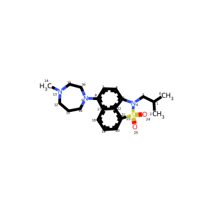 CC(C)CN1c2ccc(N3CCCN(C)CC3)c3cccc(c23)S1(=O)=O